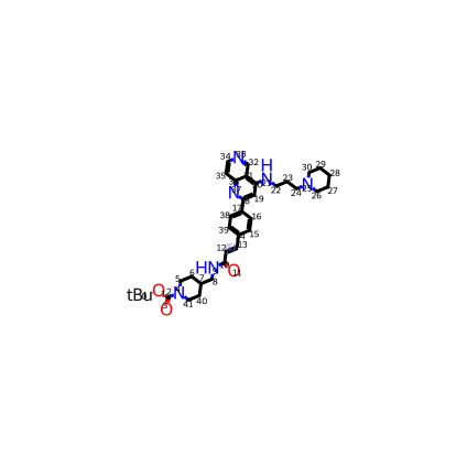 CC(C)(C)OC(=O)N1CCC(CNC(=O)/C=C/c2ccc(-c3cc(NCCCN4CCCCC4)c4cnccc4n3)cc2)CC1